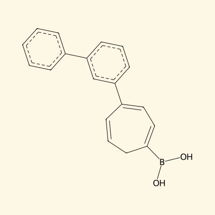 OB(O)C1=CC=C(c2cccc(-c3ccccc3)c2)C=CC1